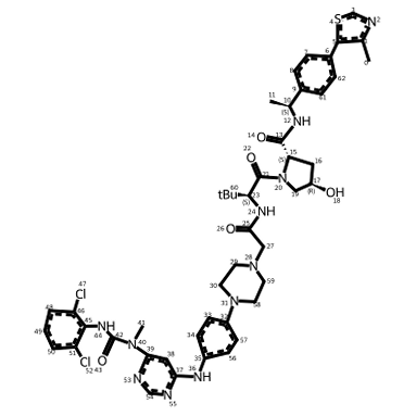 Cc1ncsc1-c1ccc([C@H](C)NC(=O)[C@@H]2C[C@@H](O)CN2C(=O)[C@@H](NC(=O)CN2CCN(c3ccc(Nc4cc(N(C)C(=O)Nc5c(Cl)cccc5Cl)ncn4)cc3)CC2)C(C)(C)C)cc1